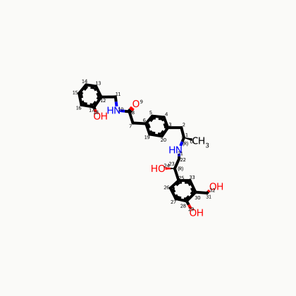 C[C@H](Cc1ccc(CC(=O)NCc2ccccc2O)cc1)NC[C@H](O)c1ccc(O)c(CO)c1